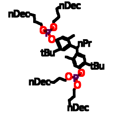 CCCCCCCCCCCCCOP(OCCCCCCCCCCCCC)Oc1cc(C)c(C(CCC)c2cc(C(C)(C)C)c(OP(OCCCCCCCCCCCCC)OCCCCCCCCCCCCC)cc2C)cc1C(C)(C)C